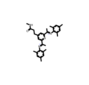 CNC(=O)CCc1cc(/C(C)=N/c2c(C)cc(C)cc2C)nc(/C(C)=N/c2c(C)cc(C)cc2C)c1